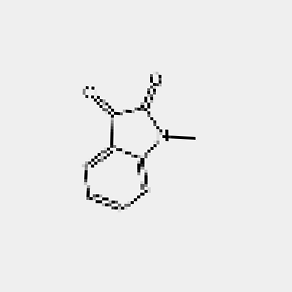 [CH2]N1C(=O)C(=O)c2ccccc21